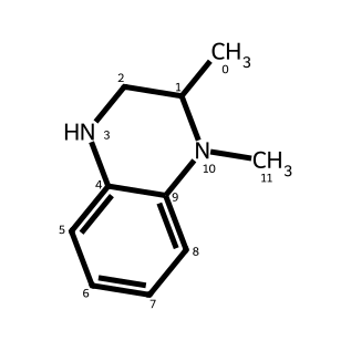 CC1CNc2ccccc2N1C